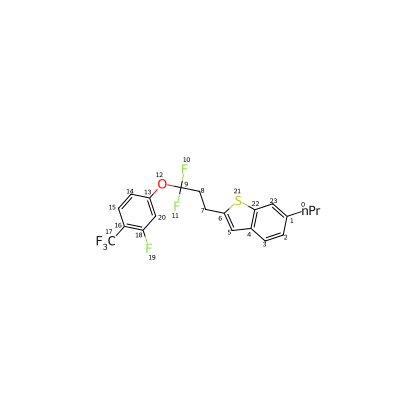 CCCc1ccc2cc(CCC(F)(F)Oc3ccc(C(F)(F)F)c(F)c3)sc2c1